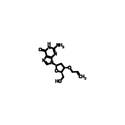 C=CCO[C@@H]1C[C@H](n2cnc3c(=O)[nH]c(N)nc32)O[C@@H]1CO